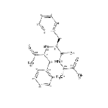 C[C@H](NC(=O)[C@H](Cc1ccccc1)NC(Cc1ccccc1)C(=O)O)C(=O)O